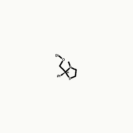 CCOC[C@@]1(C(C)C)SCCN1C